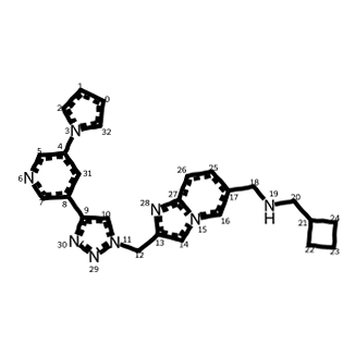 c1ccn(-c2cncc(-c3cn(Cc4cn5cc(CNCC6CCC6)ccc5n4)nn3)c2)c1